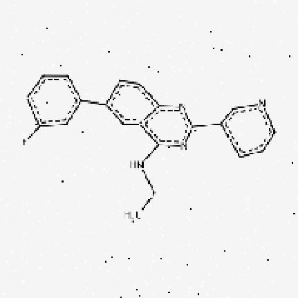 CCNc1nc(-c2cccnc2)nc2ccc(-c3cccc(F)c3)cc12